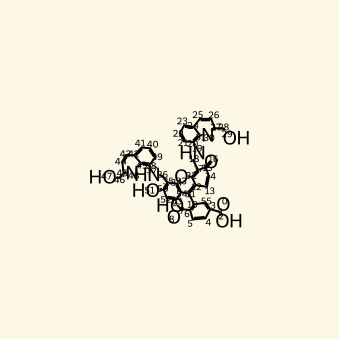 O=C(O)c1ccc(C(=O)O)c(-c2c3ccc(=O)c(CNc4cccc5ccc(CO)nc45)c-3oc3c(CNc4cccc5ccc(CO)nc45)c(O)ccc23)c1